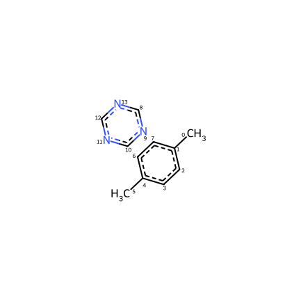 Cc1ccc(C)cc1.c1ncncn1